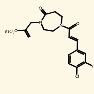 C=C(CN1CCN(C(=O)/C=C/c2ccc(Cl)c(Cl)c2)CCC1=O)C(=O)OCC